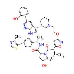 Cc1ncsc1-c1ccc([C@H](C)NC(=O)[C@@H]2C[C@@H](O)CN2C(=O)[C@@H](c2cc(OCCN3CCC[C@@H](c4c[nH]c5nnc(-c6ccccc6O)cc45)C3)no2)C(C)C)cc1